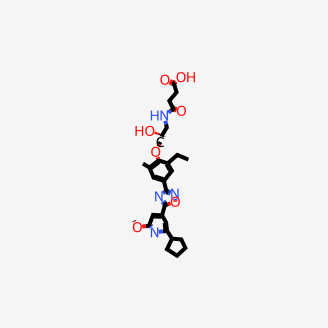 CCc1cc(-c2noc(-c3cc(OC)nc(C4CCCC4)c3)n2)cc(C)c1OC[C@@H](O)CNC(=O)CCC(=O)O